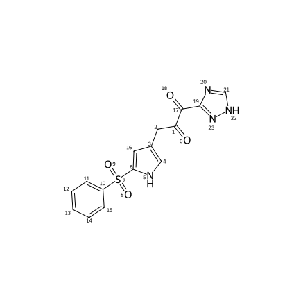 O=C(Cc1c[nH]c(S(=O)(=O)c2ccccc2)c1)C(=O)c1nc[nH]n1